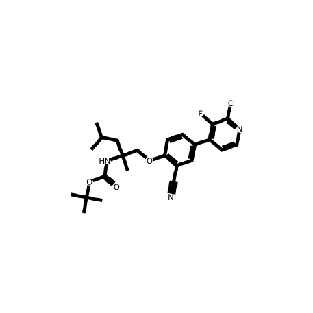 CC(C)CC(C)(COc1ccc(-c2ccnc(Cl)c2F)cc1C#N)NC(=O)OC(C)(C)C